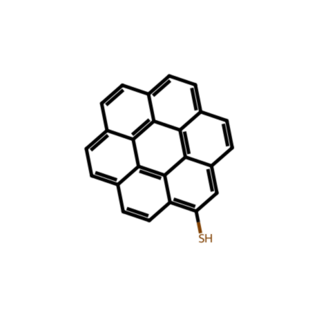 Sc1cc2ccc3ccc4ccc5ccc6ccc1c1c6c5c4c3c21